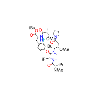 CC[C@H](C)C(C(CC(=O)N1CCC[C@H]1C(OC)[C@@H](C)C(=O)N[C@@H](Cc1ccccc1F)C(=O)OC(C)(C)C)OC)N(C)C(=O)[C@@H](NC(=O)[C@@H](NC)C(C)C)C(C)C